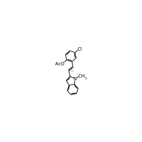 CC(=O)Oc1ccc(Cl)cc1/C=C/c1cc2ccccc2n1C